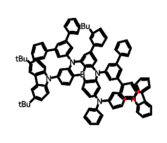 CC(C)(C)c1cccc(-c2cc3c4c(c2)N(c2cc(-c5ccccc5)cc(-c5ccccc5)c2)c2cc(-n5c6ccc(C(C)(C)C)cc6c6cc(C(C)(C)C)ccc65)ccc2B4c2ccc(N(c4ccccc4)c4ccc(-n5c6ccccc6c6ccccc65)cc4)cc2N3c2cc(-c3ccccc3)cc(-c3ccccc3)c2)c1